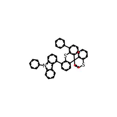 c1ccc(-c2cccc3c2Sc2c(-c4cccc5c4c4ccccc4n5-c4ccccc4)cccc2C32c3ccccc3Sc3ccccc32)cc1